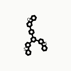 c1ccc2c(c1)oc1ccc(-c3ccc(-c4cc(-c5ccc6sc7ccccc7c6c5)cc(-c5ccc6sc7ccccc7c6c5)c4)cc3)cc12